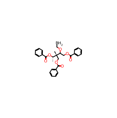 BCOC(COC(=O)c1ccccc1)[C@](C)(COC(=O)c1ccccc1)[C@H](C)OC(=O)c1ccccc1